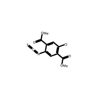 COC(=O)c1cc(N=C=S)c(C(=O)OC)cc1Cl